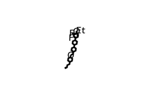 C=CCCC1CCC(OCC2CCC(C3CCC(c4ccc(OCC)c(F)c4F)CC3)CC2)CC1